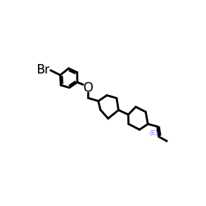 C/C=C/C1CCC(C2CCC(COc3ccc(Br)cc3)CC2)CC1